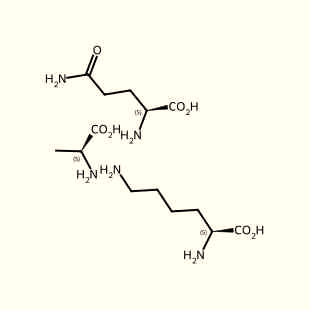 C[C@H](N)C(=O)O.NC(=O)CC[C@H](N)C(=O)O.NCCCC[C@H](N)C(=O)O